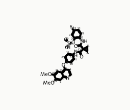 COc1cc2nccc(Oc3ccc(NC(=O)C4(C(=O)Nc5ccc(F)cc5O[SH](=O)=O)CC4)cc3)c2cc1OC